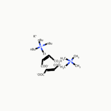 CCCC[N+](CC)(CCCC)CCCC.C[N+](C)(C)C.O=C([O-])/C=C/C(=O)[O-].O=C([O-])/C=C\C(=O)O.[K+]